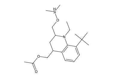 CCN1c2c(cccc2C(C)(C)C)C(COC(C)=O)CC1CO[SiH](C)C